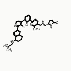 COc1nc(-c2cccc(-c3ccnc(-c4ccc5c(c4)CCCC5NCC(C)O)c3Cl)c2Cl)ccc1CNC[C@H]1CCC(=O)N1